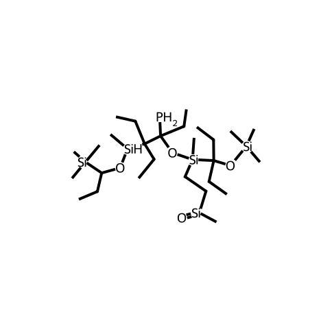 CCC(O[SiH](C)C(CC)(CC)C(P)(CC)O[Si](C)(CC[Si](C)=O)C(CC)(CC)O[Si](C)(C)C)[Si](C)(C)C